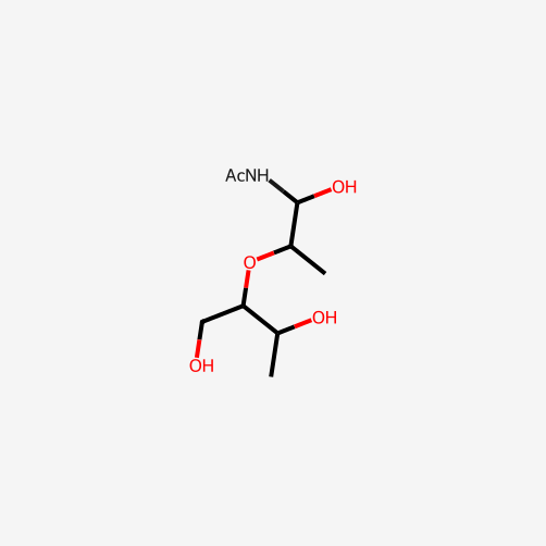 CC(=O)NC(O)C(C)OC(CO)C(C)O